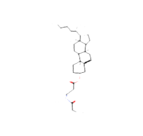 CCCCCCCCCCCC(=O)N(C)CCC(=O)O[C@H]1CC[C@@]2(C)C(=CC[C@H]3[C@@H]4CC[C@H]([C@H](C)CCCC(C)C)[C@@]4(C)CC[C@@H]32)C1